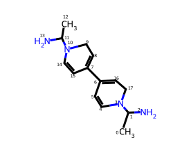 CC(N)N1C=CC(C2=CCN(C(C)N)C=C2)=CC1